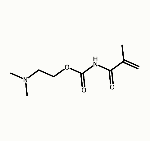 C=C(C)C(=O)NC(=O)OCCN(C)C